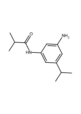 CC(C)C(=O)Nc1cc(N)cc(C(C)C)c1